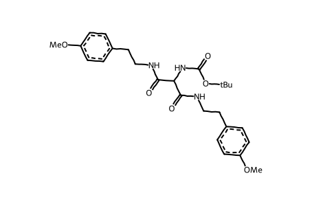 COc1ccc(CCNC(=O)C(NC(=O)OC(C)(C)C)C(=O)NCCc2ccc(OC)cc2)cc1